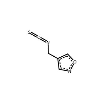 S=C=NCc1cnoc1